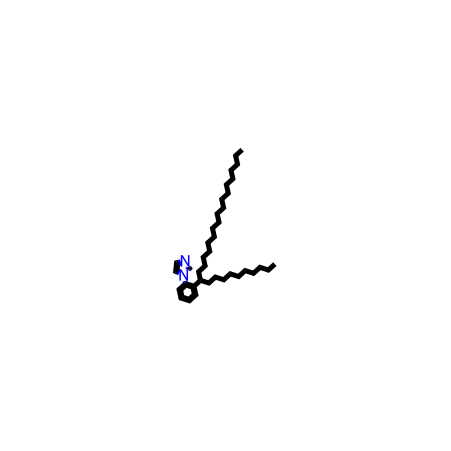 CCCCCCCCCCCCCCCCCCC(CCCCCCCCCC)c1ccccc1-n1ccnc1